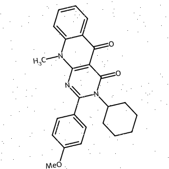 COc1ccc(-c2nc3c(c(=O)c4ccccc4n3C)c(=O)n2C2CCCCC2)cc1